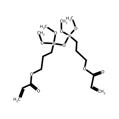 C=CC(=O)OCCC[Si](OC)(OC)O[Si](CCCOC(=O)C=C)(OC)OC